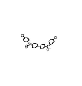 [O-][S+](c1ccc(Cl)cc1)c1ccc(-c2ccc([S+]([O-])c3ccc(Cl)cc3)cc2)cc1